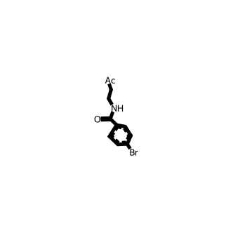 CC(=O)CCNC(=O)c1ccc(Br)cc1